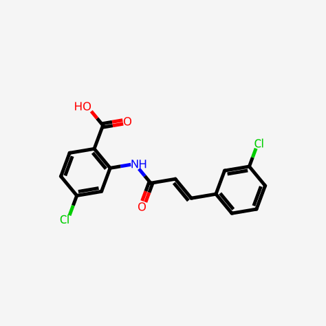 O=C(C=Cc1cccc(Cl)c1)Nc1cc(Cl)ccc1C(=O)O